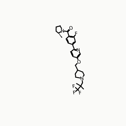 C[C@H]1CCCN1C(=O)c1ccc(-c2ccc(OCC3CCN(CC(C)(C)C(F)(F)F)CC3)cn2)cc1F